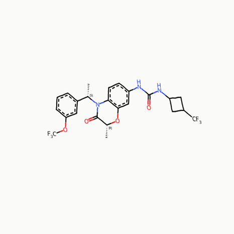 C[C@H]1Oc2cc(NC(=O)NC3CC(C(F)(F)F)C3)ccc2N([C@@H](C)c2cccc(OC(F)(F)F)c2)C1=O